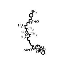 COC(CC1CCCC(=O)C(N=O)(C(=O)N2CCCCC2)O1)/C(C)=C/C=C/C=C/C(C)CC(C)C(=O)CC(O)/C(C)=C/C(C)CCC(CCC1CCC(N)CC1)OC=O